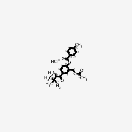 CC(=O)OCc1cc(C(=O)C(N)C(C)(C)C)ccc1OC(=O)c1ccc(C)cc1.Cl